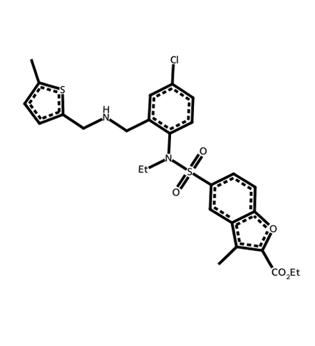 CCOC(=O)c1oc2ccc(S(=O)(=O)N(CC)c3ccc(Cl)cc3CNCc3ccc(C)s3)cc2c1C